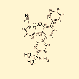 CS(C)(C)c1ccc(-c2ccc(-c3ccccn3)c3oc4c(C#N)cccc4c23)cc1